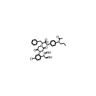 CCCN(C(C)=O)c1ccc(NC(=O)C(Cc2ccccc2)N2CC(=O)N(c3cc(Cl)ccc3N(C=N)N=N)CC2=O)cc1